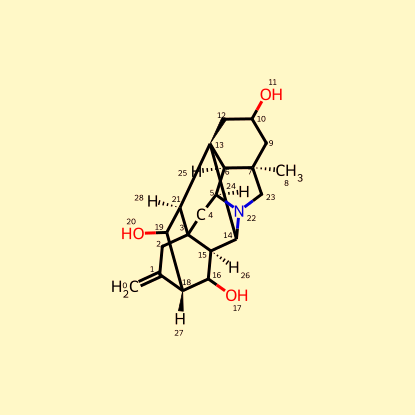 C=C1CC23C[C@H]4[C@@H]5[C@@]6(C)CC(O)C[C@]57C([C@H]2C(O)[C@H]1C(O)[C@H]37)N4C6